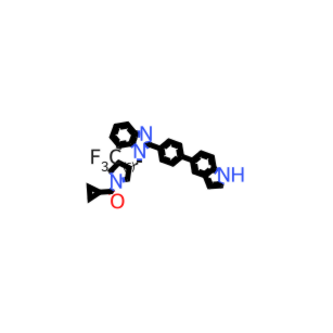 O=C(C1CC1)N1CC[C@H](Cn2c(-c3ccc(-c4ccc5[nH]ccc5c4)cc3)nc3cccc(C(F)(F)F)c32)C1